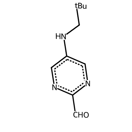 CC(C)(C)CNc1cnc(C=O)nc1